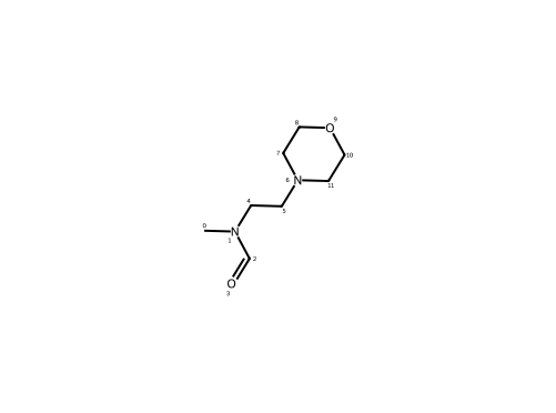 CN(C=O)CCN1CCOCC1